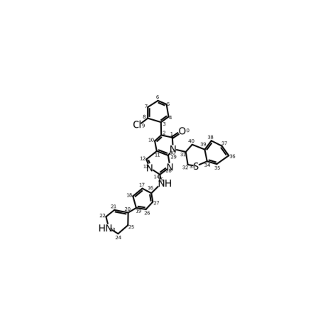 O=c1c(-c2ccccc2Cl)cc2cnc(Nc3ccc(C4=CCNCC4)cc3)nc2n1C1CSc2ccccc2C1